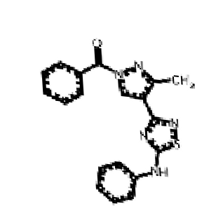 Cc1nn(C(=O)c2ccccc2)cc1-c1nsc(Nc2ccccc2)n1